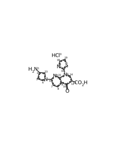 Cl.Nc1ccn(-c2ccc3c(=O)c(C(=O)O)cn(-c4nccs4)c3n2)c1